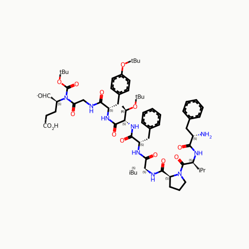 CC[C@H](C)[C@H](NC(=O)[C@@H]1CCCN1C(=O)[C@@H](NC(=O)[C@@H](N)Cc1ccccc1)C(C)C)C(=O)N[C@@H](Cc1ccccc1)C(=O)N[C@H](C(=O)N[C@@H](Cc1ccc(OC(C)(C)C)cc1)C(=O)NCC(=O)N(C(=O)OC(C)(C)C)[C@H]([C]=O)CCC(=O)O)[C@@H](C)OC(C)(C)C